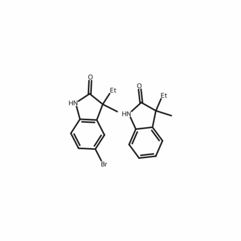 CCC1(C)C(=O)Nc2ccc(Br)cc21.CCC1(C)C(=O)Nc2ccccc21